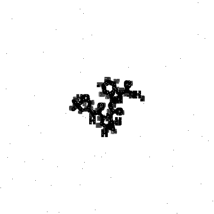 CC(C)(C)C[C@@H](CO)NC(=O)[C@@H]1C[C@H]2C[C@H]2N1C(=O)Cn1nc(C(N)=O)c2ccccc21